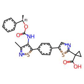 Cc1nsc(-c2ccc(-c3cnc(C4(C(=O)O)CC4)s3)cc2)c1NC(=O)O[C@H](C)c1ccccc1